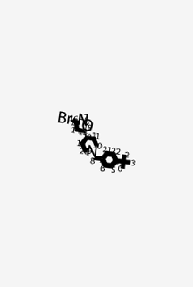 CC(C)(C)c1ccc(CN2CCC([C@@H]3CC(Br)=NO3)CC2)cc1